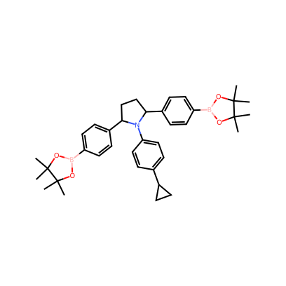 CC1(C)OB(c2ccc(C3CCC(c4ccc(B5OC(C)(C)C(C)(C)O5)cc4)N3c3ccc(C4CC4)cc3)cc2)OC1(C)C